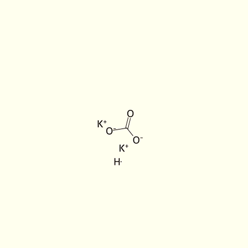 O=C([O-])[O-].[H].[K+].[K+]